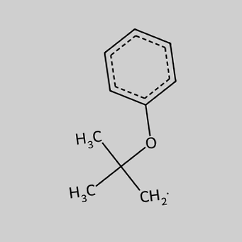 [CH2]C(C)(C)Oc1ccccc1